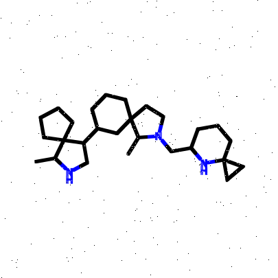 CC1N(CC2CCCC3(CC3)N2)CCC12CCCC(C1CNC(C)C13CCCC3)C2